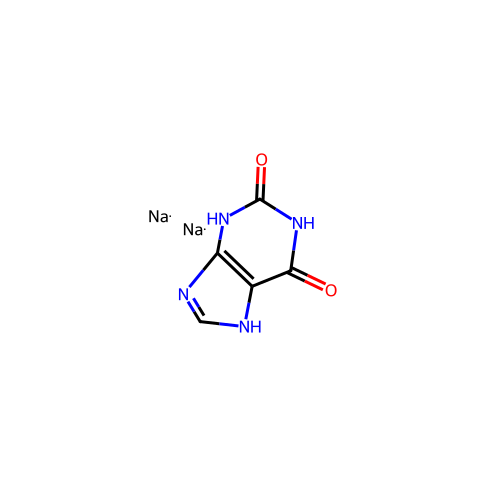 O=c1[nH]c(=O)c2[nH]cnc2[nH]1.[Na].[Na]